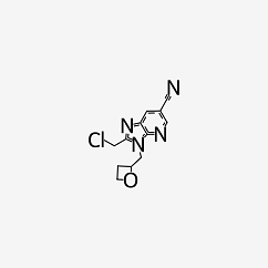 N#Cc1cnc2c(c1)nc(CCl)n2CC1CCO1